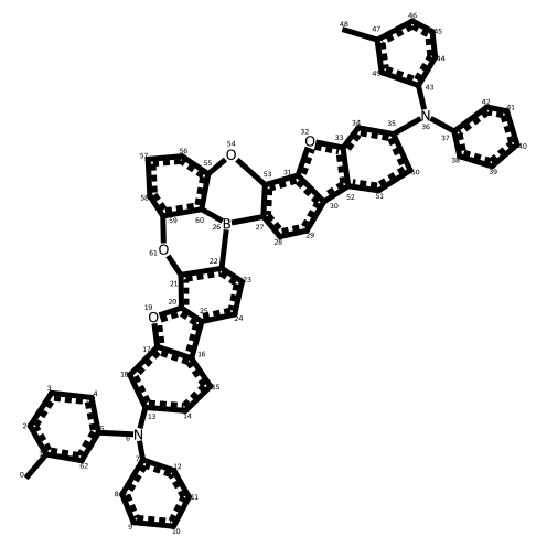 Cc1cccc(N(c2ccccc2)c2ccc3c(c2)oc2c4c(ccc23)B2c3ccc5c(oc6cc(N(c7ccccc7)c7cccc(C)c7)ccc65)c3Oc3cccc(c32)O4)c1